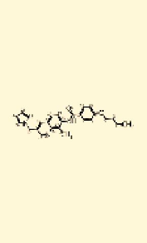 CCCCOc1ccc(C(=O)Nc2ccc3cc(Cn4cccc4)cnc3c2C)cc1